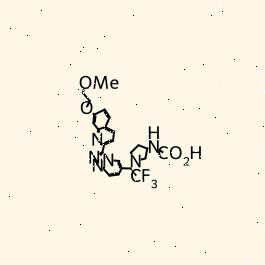 COCCOc1ccc2ccc(-c3nnc4ccc([C@@H](N5CC[C@H](NC(=O)O)C5)C(F)(F)F)cn34)nc2c1